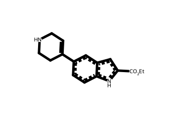 CCOC(=O)c1cc2cc(C3=CCNCC3)ccc2[nH]1